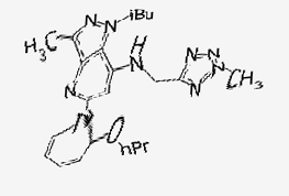 CCCOC1C=CC=CN1c1cc(NCc2nnn(C)n2)c2c(n1)c(C)nn2C(C)CC